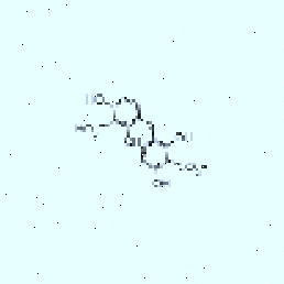 O=C(O)c1c(O)ccc(Sc2ccc(O)c(C(=O)O)c2O)c1O